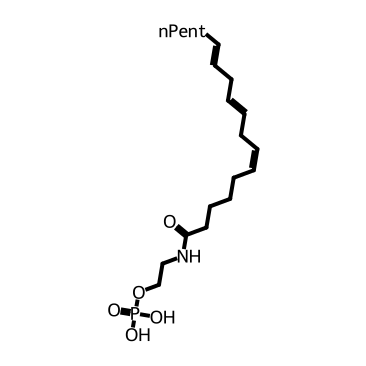 CCCCCC=CCC=CC/C=C\CCCCC(=O)NCCOP(=O)(O)O